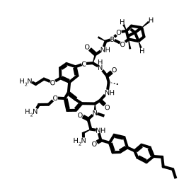 CCCCc1ccc(-c2ccc(C(=O)N[C@@H](CN)C(=O)N(C)[C@@H]3C(=O)N[C@@H](C)C(=O)N[C@H](C(=O)N[C@@H](C)B4O[C@@H]5C[C@@H]6C[C@@H](C6(C)C)[C@]5(C)O4)Cc4ccc(OCCN)c(c4)-c4cc3ccc4OCCN)cc2)cc1